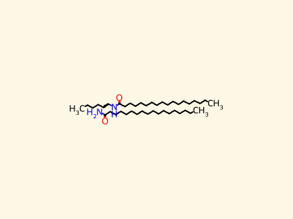 CCCCC=CNC(=O)CCCCCCCCCCCCCCCCC.CCCCCCCCCCCCCCCCCC(N)=O